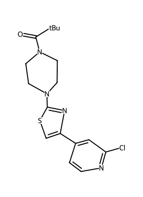 CC(C)(C)C(=O)N1CCN(c2nc(-c3ccnc(Cl)c3)cs2)CC1